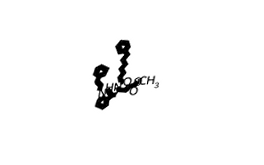 COC(=O)/C=C/[C@@H](Cc1cn(C/C=C/c2ccccc2)c2ccccc12)NC(=O)CCCCCCc1ccccc1